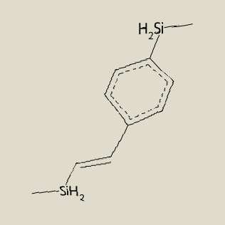 C[SiH2]C=Cc1ccc([SiH2]C)cc1